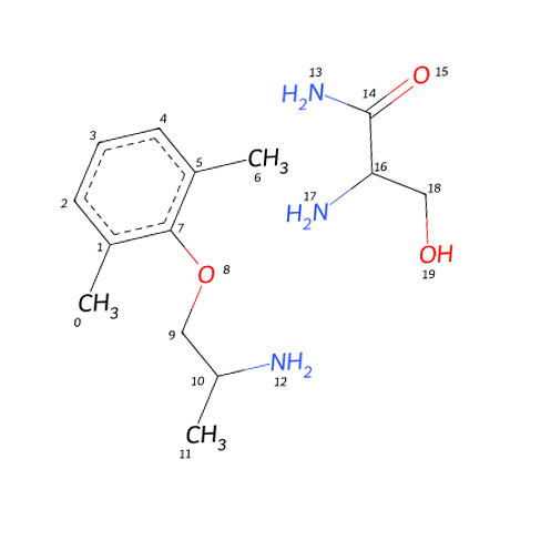 Cc1cccc(C)c1OCC(C)N.NC(=O)C(N)CO